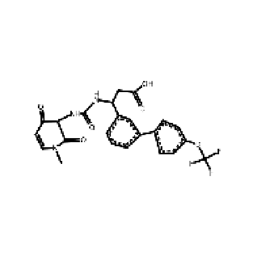 CN1C=CC(=O)C(NC(=O)NC(CC(=O)O)c2cccc(-c3ccc(OC(F)(F)F)cc3)c2)C1=O